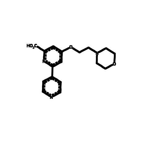 O=C(O)c1cc(OCCN2CCOCC2)cc(-c2ccncc2)n1